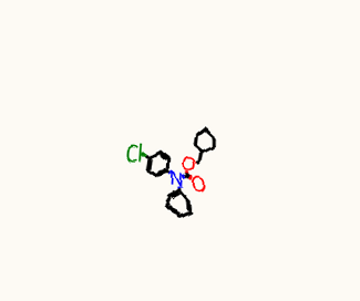 O=C(OCC1CCCCC1)N(c1ccccc1)c1ccc(Cl)cc1